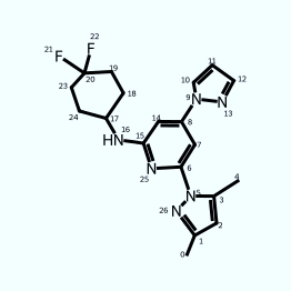 Cc1cc(C)n(-c2cc(-n3cccn3)cc(NC3CCC(F)(F)CC3)n2)n1